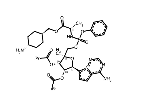 CC(C)C(=O)O[C@H]1[C@H](c2ccc3c(N)ncnn23)O[C@](C)(COP(=O)(N[C@@H](C)C(=O)OC[C@H]2CC[C@H](N)CC2)Oc2ccccc2)[C@H]1OC(=O)C(C)C